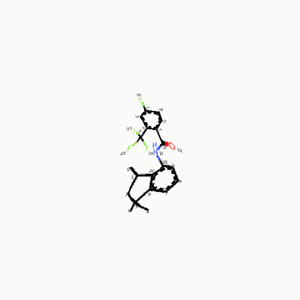 CC1CC(C)(C)c2cccc(NC(=O)c3ccc(F)cc3C(F)(F)F)c21